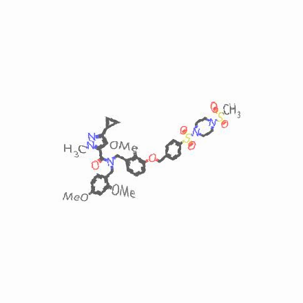 COc1ccc(CN(Cc2cccc(OCc3ccc(S(=O)(=O)N4CCN(S(C)(=O)=O)CC4)cc3)c2OC)C(=O)c2cc(C3CC3)nn2C)c(OC)c1